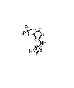 FC(F)(F)Cc1cccc(Nc2nc[nH]n2)c1